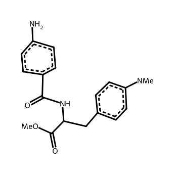 CNc1ccc(CC(NC(=O)c2ccc(N)cc2)C(=O)OC)cc1